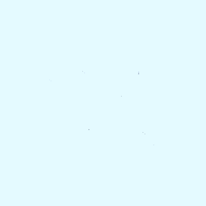 CC(C)(C)[Si](C)(C)OCC1=CC=CN(O)C1.C[SiH](C)OC(c1ccc(C#N)nc1)C(C)(C)C